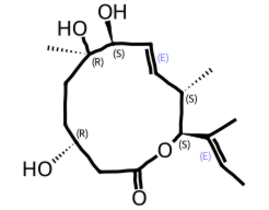 C/C=C(\C)[C@H]1OC(=O)C[C@H](O)CC[C@@](C)(O)[C@@H](O)/C=C/[C@@H]1C